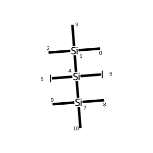 C[Si](C)(C)[Si](I)(I)[Si](C)(C)C